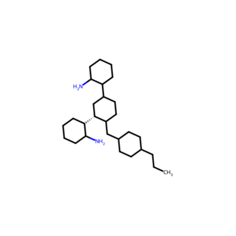 CCCC1CCC(CC2CCC(C3CCCCC3N)C[C@H]2C2CCCCC2N)CC1